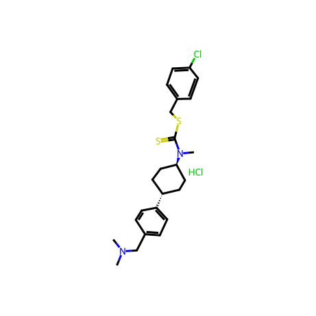 CN(C)Cc1ccc([C@H]2CC[C@H](N(C)C(=S)SCc3ccc(Cl)cc3)CC2)cc1.Cl